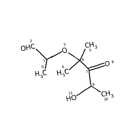 CC(C=O)OC(C)(C)C(=O)C(C)O